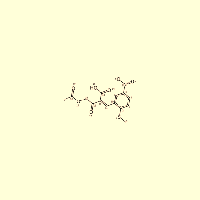 CSc1ccc([N+](=O)[O-])cc1C=C(C(=O)O)C(=O)COC(C)=O